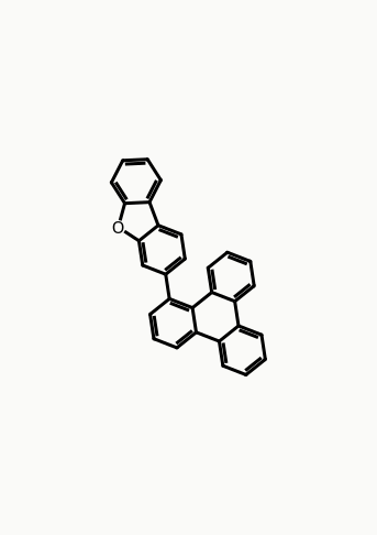 c1ccc2c(c1)oc1cc(-c3cccc4c5ccccc5c5ccccc5c34)ccc12